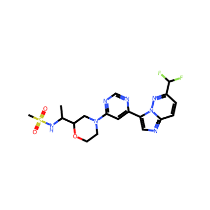 CC(NS(C)(=O)=O)C1CN(c2cc(-c3cnc4ccc(C(F)F)nn34)ncn2)CCO1